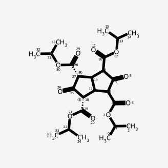 CC(C)OC(=O)C1C(=O)C(C(=O)OC(C)C)C2C1[C@H](C(=O)OC(C)C)C(=O)[C@@H]2C(=O)OC(C)C